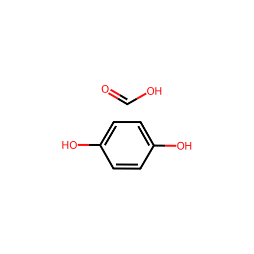 O=CO.Oc1ccc(O)cc1